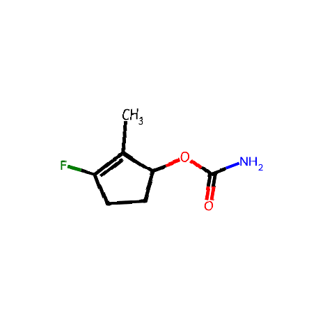 CC1=C(F)CCC1OC(N)=O